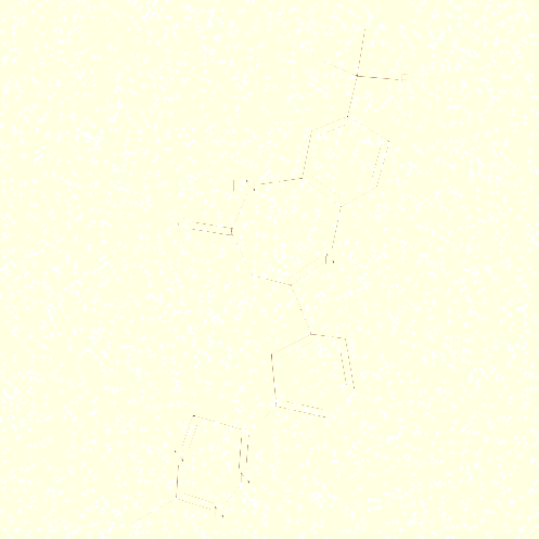 Cc1ncc(-c2cccc(C3=Nc4ccc(C(F)(F)F)cc4NC(=O)C3)c2)nn1